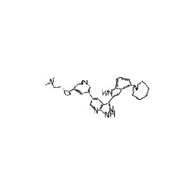 CN(C)CCOc1cncc(-c2cnc3[nH]nc(-c4cc5c(N6CCCCC6)cccc5[nH]4)c3c2)c1